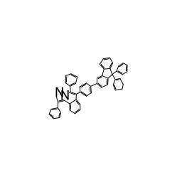 C1=CC(C2(c3ccccc3)c3ccccc3-c3cc(-c4ccc(-c5c(-c6ccccc6)n6ncc(-c7ccccc7)c6c6ccccc56)cc4)ccc32)=CCC1